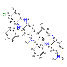 Cc1cc2nc3cc(-c4cc5c(cc4C)nc4ccc(N(C)C)cc4[n+]5-c4ccccc4)c(N(C)C)cc3[n+](-c3ccccc3)c2cc1Cl